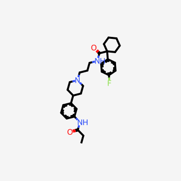 CCC(=O)Nc1cccc(C2CCN(CCCNC(=O)C3(c4ccc(F)cc4)CCCCC3)CC2)c1